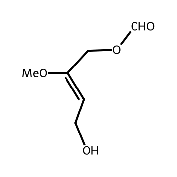 CO/C(=C\CO)COC=O